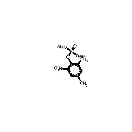 COP(=O)(OC)Oc1c(C)cc(C)cc1[N+](=O)[O-]